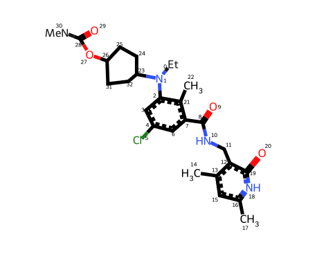 CCN(c1cc(Cl)cc(C(=O)NCc2c(C)cc(C)[nH]c2=O)c1C)C1CCC(OC(=O)NC)CC1